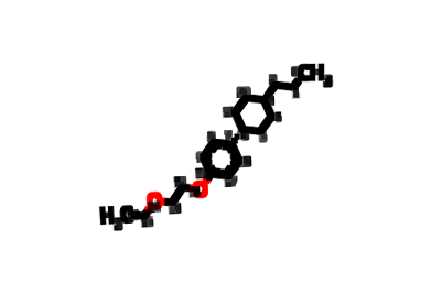 CCC[C@H]1CC[C@H](c2ccc(OCCOCC)cc2)CC1